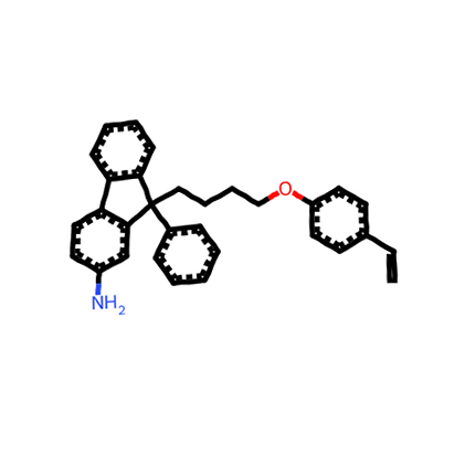 C=Cc1ccc(OCCCCC2(c3ccccc3)c3ccccc3-c3ccc(N)cc32)cc1